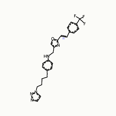 FC(F)(F)c1ccc(/C=C/c2nc(CNc3ccc(CCCCn4ccnn4)cc3)co2)cc1